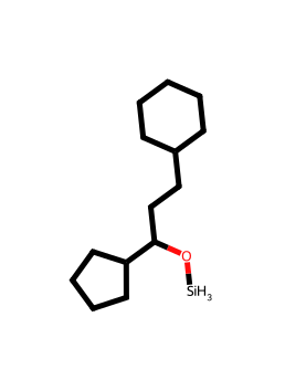 [SiH3]OC(CCC1CCCCC1)C1CCCC1